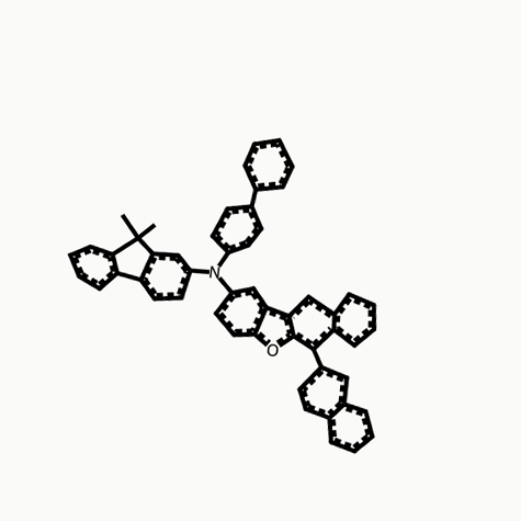 CC1(C)c2ccccc2-c2ccc(N(c3ccc(-c4ccccc4)cc3)c3ccc4oc5c(-c6ccc7ccccc7c6)c6ccccc6cc5c4c3)cc21